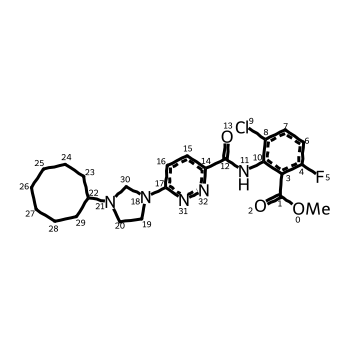 COC(=O)c1c(F)ccc(Cl)c1NC(=O)c1ccc(N2CCN(C3CCCCCCC3)C2)nn1